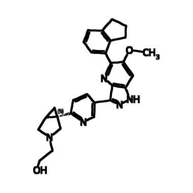 COc1cc2[nH]nc(-c3ccc([C@@]45CC4CN(CCO)C5)nc3)c2nc1-c1cccc2c1CCC2